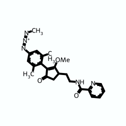 CN=[N+]=Nc1cc(C)c(C2=C(OC)C(CCNC(=O)c3ccccn3)CC2=O)c(C)c1